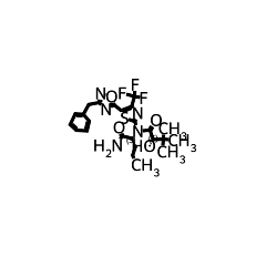 CCC[C@@H](C(N)=O)N(C(=O)[C@@H](O)C(C)(C)C)c1nc(C(F)(F)F)c(-c2nc(Cc3ccccc3)no2)s1